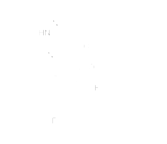 CCCCOc1c(C(=O)c2c(F)cc(CF)cc2F)cnc2[nH]ncc12